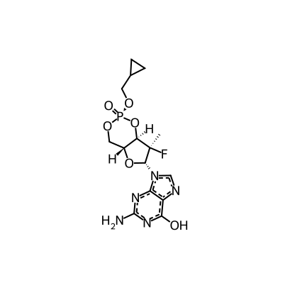 C[C@@]1(F)[C@@H]2O[P@](=O)(OCC3CC3)OC[C@H]2O[C@H]1n1cnc2c(O)nc(N)nc21